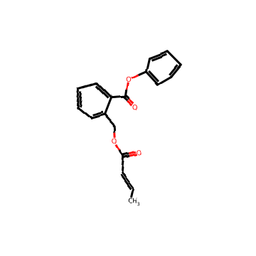 CC=CC(=O)OCc1ccccc1C(=O)Oc1ccccc1